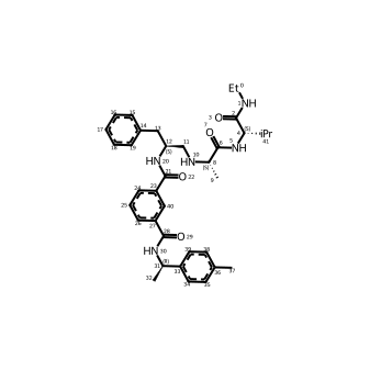 CCNC(=O)[C@@H](NC(=O)[C@H](C)NC[C@H](Cc1ccccc1)NC(=O)c1cccc(C(=O)N[C@H](C)c2ccc(C)cc2)c1)C(C)C